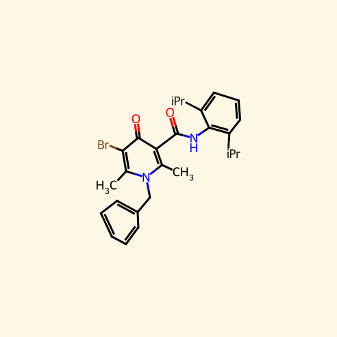 Cc1c(Br)c(=O)c(C(=O)Nc2c(C(C)C)cccc2C(C)C)c(C)n1Cc1ccccc1